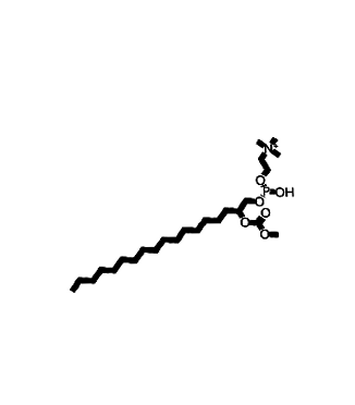 CCCCCCCCCCCCCCCCC(COP(O)OCC[N+](C)(C)C)OC(=O)OC